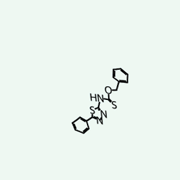 S=C(Nc1nnc(-c2ccccc2)s1)OCc1ccccc1